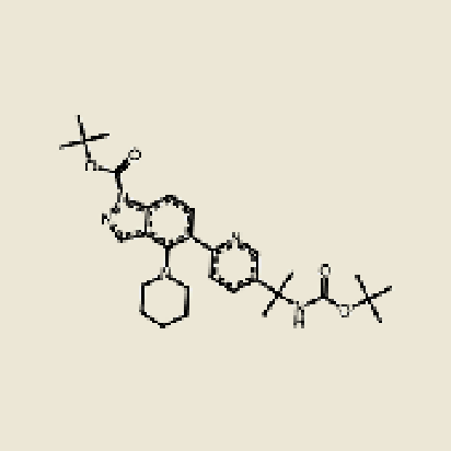 CC(C)(C)OC(=O)NC(C)(C)c1ccc(-c2ccc3c(cnn3C(=O)OC(C)(C)C)c2N2CCCCC2)nc1